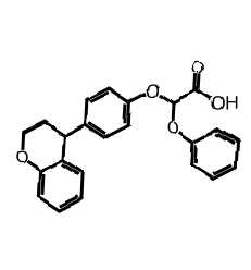 O=C(O)C(Oc1ccccc1)Oc1ccc(C2CCOc3ccccc32)cc1